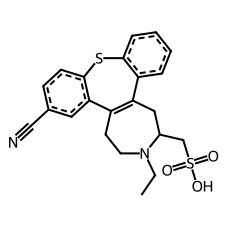 CCN1CCC2=C(CC1CS(=O)(=O)O)c1ccccc1Sc1ccc(C#N)cc12